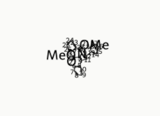 COC(=O)c1c(-c2ccccc2)cc(-c2ccccc2)n1C(OC)c1ccccc1